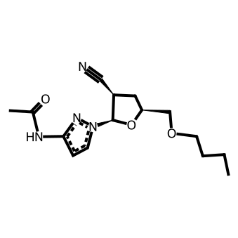 CCCCOC[C@@H]1C[C@H](C#N)[C@H](n2ccc(NC(C)=O)n2)O1